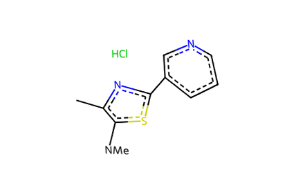 CNc1sc(-c2cccnc2)nc1C.Cl